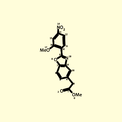 COC(=O)Cc1ccc2oc(-c3ccc([N+](=O)[O-])cc3OC)nc2c1